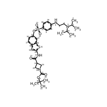 CC(C)N(CCNc1ccc(S(=O)(=O)Oc2ccc3nc(NC(=O)C4CN(C(=O)OC(C)(C)C)C4)sc3c2)cc1)C(C)C